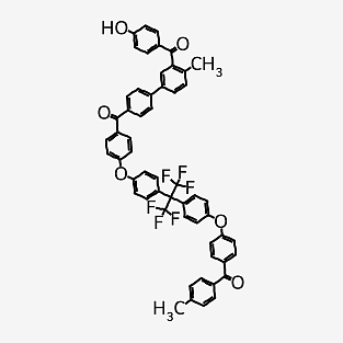 Cc1ccc(C(=O)c2ccc(Oc3ccc(C(c4ccc(Oc5ccc(C(=O)c6ccc(-c7ccc(C)c(C(=O)c8ccc(O)cc8)c7)cc6)cc5)cc4)(C(F)(F)F)C(F)(F)F)cc3)cc2)cc1